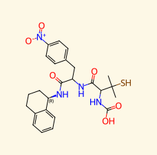 CC(C)(S)C(NC(=O)O)C(=O)NC(Cc1ccc([N+](=O)[O-])cc1)C(=O)N[C@@H]1CCCc2ccccc21